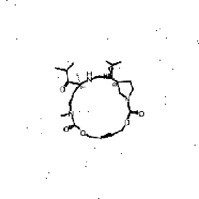 CC(C)N[C@@]12CCN(C1)C(=O)OCC=CCOC(=O)N(C)CC[C@@](C)(C(=O)C(C)C)NCC2=O